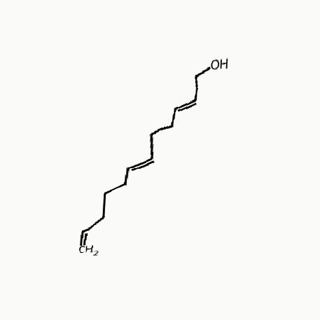 C=CCCCC=CCCC=CCO